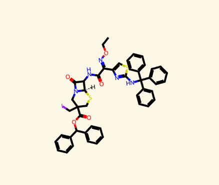 CCON=C(C(=O)NC1C(=O)N2CC(CI)(C(=O)OC(c3ccccc3)c3ccccc3)CS[C@H]12)c1csc(NC(c2ccccc2)(c2ccccc2)c2ccccc2)n1